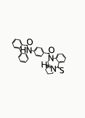 O=C(Nc1ccc(C(=O)N2C[C@H]3CCCN3C(=S)c3ccccc32)cc1)c1ccccc1-c1ccccc1